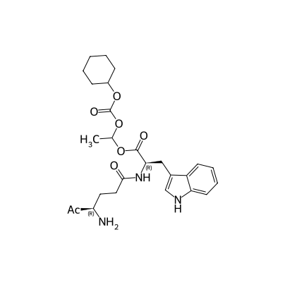 CC(=O)[C@H](N)CCC(=O)N[C@H](Cc1c[nH]c2ccccc12)C(=O)OC(C)OC(=O)OC1CCCCC1